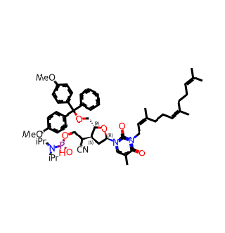 COc1ccc(C(OC[C@@H]2O[C@@H](n3cc(C)c(=O)n(CC=C(C)CCC=C(C)CCC=C(C)C)c3=O)C[C@H]2C(C#N)COP(O)N(C(C)C)C(C)C)(c2ccccc2)c2ccc(OC)cc2)cc1